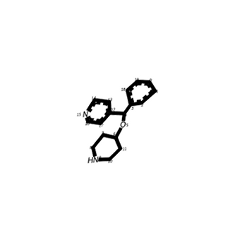 c1ccc(C(OC2CCNCC2)c2ccncc2)cc1